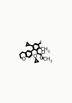 COC(=O)C(OC1CC1)c1c(C)c(I)cc(C2CC2)c1-c1ccc2c(c1)CCCO2